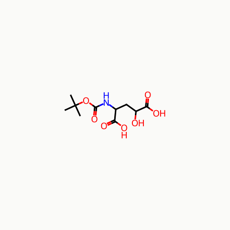 CC(C)(C)OC(=O)NC(CC(O)C(=O)O)C(=O)O